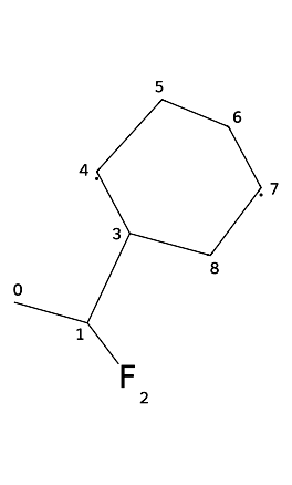 CC(F)C1[CH]CC[CH]C1